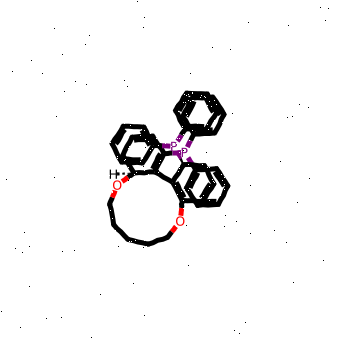 C1=CC(P(c2ccccc2)c2ccccc2)=C2C3=C(C=CC[C@@H]3P(c3ccccc3)c3ccccc3)OCCCCCO[C@H]2C1